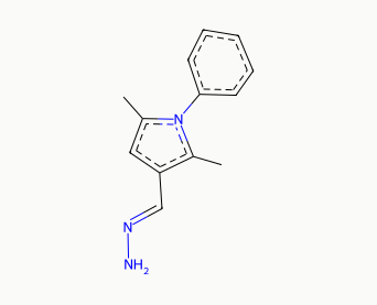 Cc1cc(C=NN)c(C)n1-c1ccccc1